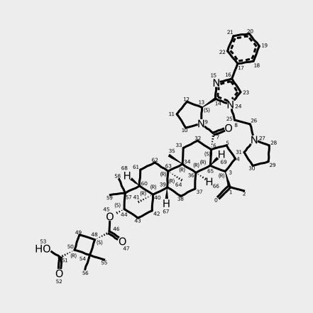 C=C(C)[C@@H]1CC[C@]2(C(=O)N3CCC[C@H]3c3nc(-c4ccccc4)cn3CCN3CCCC3)CC[C@]3(C)[C@H](CC[C@@H]4[C@@]5(C)CC[C@H](OC(=O)[C@H]6C[C@@H](C(=O)O)C6(C)C)C(C)(C)[C@@H]5CC[C@]43C)[C@@H]12